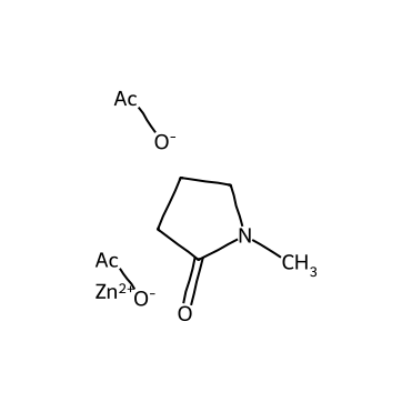 CC(=O)[O-].CC(=O)[O-].CN1CCCC1=O.[Zn+2]